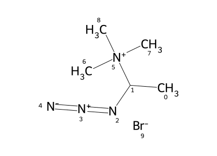 CC(N=[N+]=[N-])[N+](C)(C)C.[Br-]